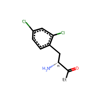 CCC(=O)[C@H](N)Cc1ccc(Cl)cc1Cl